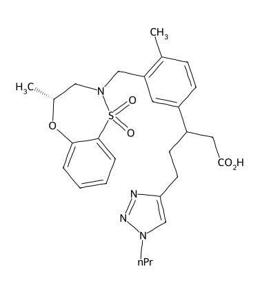 CCCn1cc(CCC(CC(=O)O)c2ccc(C)c(CN3C[C@@H](C)Oc4ccccc4S3(=O)=O)c2)nn1